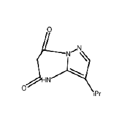 CC(C)c1cnn2c1NC(=O)CC2=O